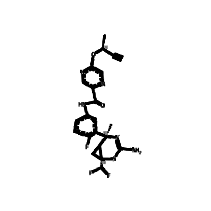 C#C[C@H](C)Oc1cnc(C(=O)Nc2ccc(F)c([C@@]3(C)N=C(N)S[C@@]4(C(F)F)CC43)c2)cn1